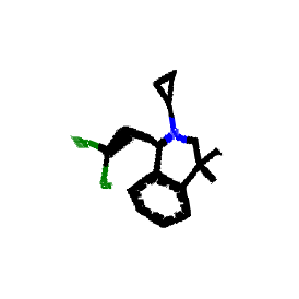 CC1(C)CN(C2CC2)C(C=C(Br)Br)c2ccccc21